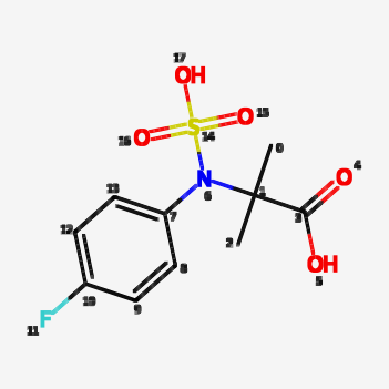 CC(C)(C(=O)O)N(c1ccc(F)cc1)S(=O)(=O)O